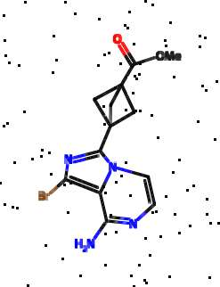 COC(=O)C12CC(c3nc(Br)c4c(N)nccn34)(C1)C2